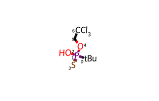 CC(C)(C)P(O)(=S)OCC(Cl)(Cl)Cl